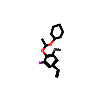 C=Cc1cc(I)c(OC(C)OC2CCCCC2)c(OC)c1